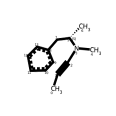 CC#CN(C)[C@@H](C)Cc1ccccc1